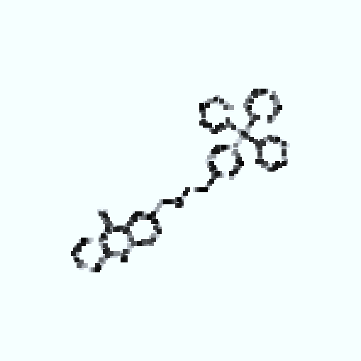 O=c1c2ccccc2sc2ccc(COCCc3ccc([B-](c4ccccc4)(c4ccccc4)c4ccccc4)cc3)cc12